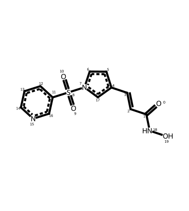 O=C(C=Cc1ccn(S(=O)(=O)c2cccnc2)c1)NO